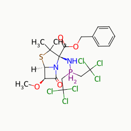 CO[C@@H]1C(=O)N2[C@@H]1SC(C)(C)[C@]2(N[PH2](CC(Cl)(Cl)Cl)CC(Cl)(Cl)Cl)C(=O)OCc1ccccc1